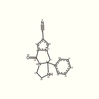 N#Cc1cc2n(c1)CC1(c3ccccc3)NCCN1C2=O